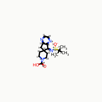 CC(C)(C)[S@@+]([O-])/N=C1\c2nccnc2CC12CCN(C(=O)O)CC2